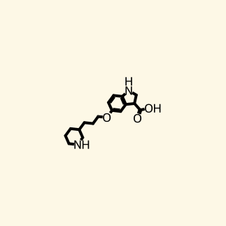 O=C(O)C1CNc2ccc(OCCCC3CCCNC3)cc21